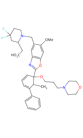 COc1cc2oc(C3(OCCCN4CCOCC4)C=CC=C(c4ccccc4)C3C)nc2cc1CN1CCC(F)(F)CC1CC(=O)O